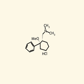 CO[C@@]1(c2ccccc2)CCCC[C@H]1CN(C)C.Cl